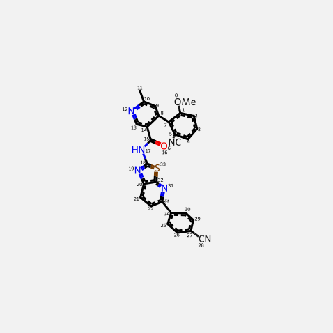 COc1cccc(C#N)c1-c1cc(C)ncc1C(=O)Nc1nc2ccc(-c3ccc(C#N)cc3)nc2s1